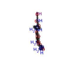 CPOCCCCCCNC(=O)CCCCC(=O)N1Cc2ccccc2/C(N)=C(/NCCOc2ccc(C(=O)Oc3ccc(CSP(N)(=O)OC[C@H]4O[C@@H](n5cnc6c(=O)[nH]c(N)nc65)C[C@@H]4C)cc3)cc2)c2ccccc21